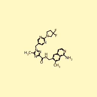 Cc1cc2c(N)nccc2cc1CNC(=O)c1nc(C)n(Cc2cnc(N3CCC(F)(F)C3)nc2)n1